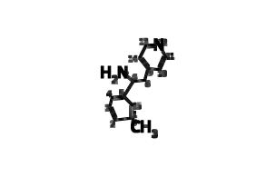 Cc1cccc(C(N)Cc2ccncc2)c1